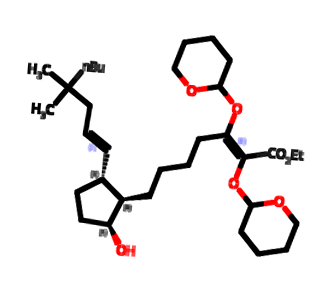 CCCCC(C)(C)C/C=C/[C@H]1CC[C@H](O)[C@@H]1CCCC/C(OC1CCCCO1)=C(\OC1CCCCO1)C(=O)OCC